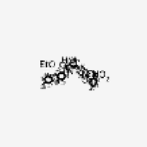 CCOC(=O)c1c2c(nn1-c1ccc(Oc3cccc(C)c3)cc1)[C@H](N1CCN(S(=O)(=O)c3ccccc3[N+](=O)[O-])CC1)CCN2